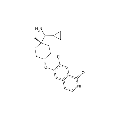 C[C@]1(C(N)C2CC2)CC[C@@H](Oc2cc3cc[nH]c(=O)c3cc2Cl)CC1